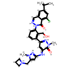 C=C(C)c1cc(F)c2c(=O)n(-c3cccc(-c4cc(Nc5cc(CN6CCC6)n(C)n5)c(=O)n(C)n4)c3CO)ncc2c1